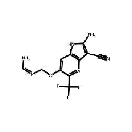 N#Cc1c(N)[nH]c2cc(OC/N=C\N)c(C(F)(F)F)nc12